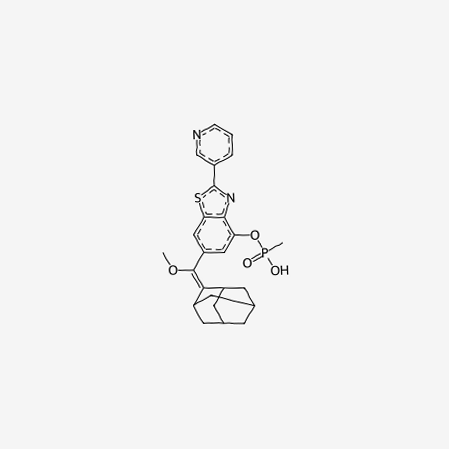 COC(=C1C2CC3CC(C2)CC1C3)c1cc(OP(C)(=O)O)c2nc(-c3cccnc3)sc2c1